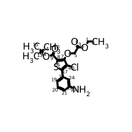 CCOC(=O)COc1c(C(=O)OC(C)(C)C)sc(-c2cccc(N)c2)c1Cl